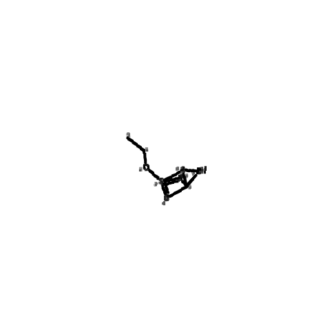 CCOS12=BC3(B=1)BB32